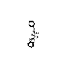 O=S(=O)(NOCc1ccccc1)c1nc2ccccc2s1